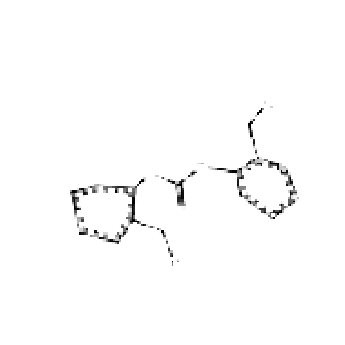 O=C(Oc1ccccc1CCl)Oc1ccccc1CCl